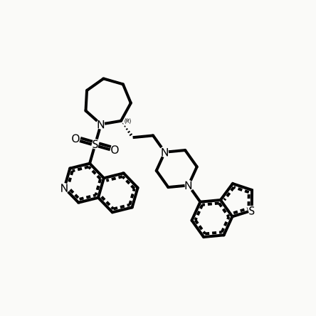 O=S(=O)(c1cncc2ccccc12)N1CCCCC[C@@H]1CCN1CCN(c2cccc3sccc23)CC1